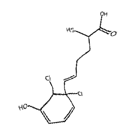 O=C(O)C(S)CCC=CC1(Cl)C=CC=C(O)C1Cl